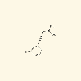 CN(C)CC#Cc1cccc(Br)c1